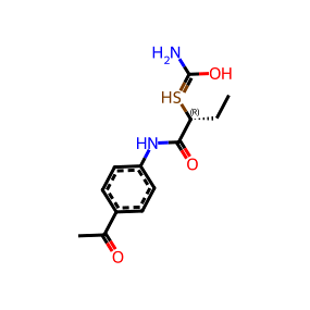 CC[C@@H]([SH]=C(N)O)C(=O)Nc1ccc(C(C)=O)cc1